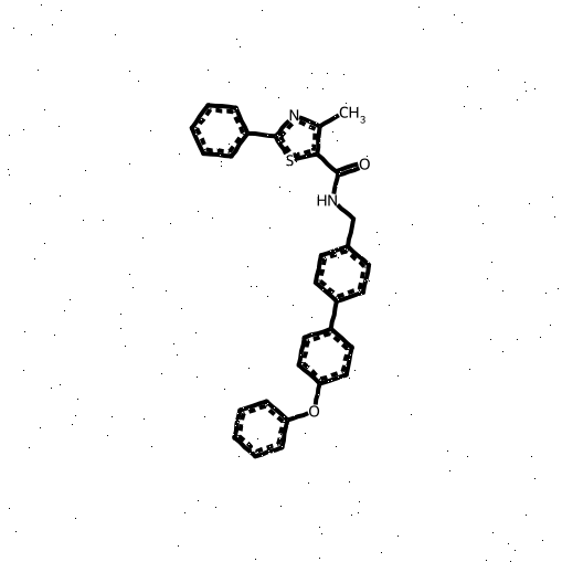 Cc1nc(-c2ccccc2)sc1C(=O)NCc1ccc(-c2ccc(Oc3ccccc3)cc2)cc1